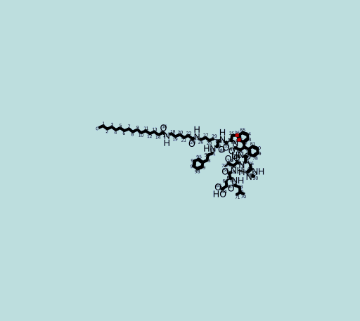 CCCCCCCCCCCCCCCC(=O)NCCCCCC(=O)NCCCC[C@H](NC(=O)[C@@H]1CCCN1C(=O)[C@@H](NC(=O)[C@H](Cc1cnc[nH]1)NC(=O)[C@@H](NC(=O)[C@H](CCC(=O)O)NC(=O)CC(C)C)[C@@H](C)O)C(c1ccccc1)c1ccccc1)C(=O)NCCCc1ccccc1